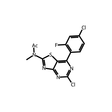 CC(=O)N(C)c1nc2nc(Cl)nc(-c3ccc(Cl)cc3F)c2s1